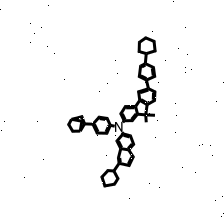 CC1(C)c2ccc(-c3ccc(C4CCCCC4)cc3)cc2-c2ccc(N(c3ccc(C4CC5CCC4C5)cc3)c3ccc4ccc(C5CCCCC5)cc4c3)cc21